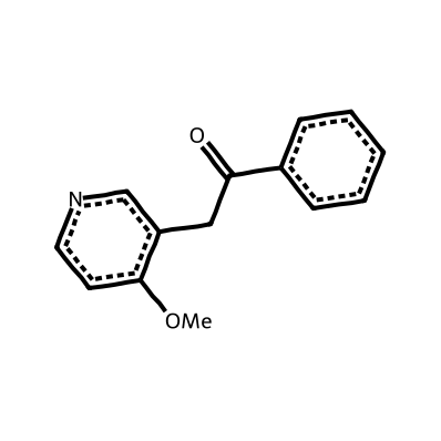 COc1ccncc1CC(=O)c1ccccc1